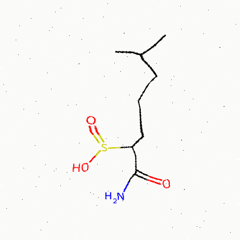 CC(C)CCCC(C(N)=O)S(=O)O